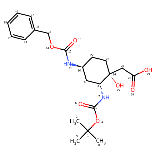 CC(C)(C)OC(=O)N[C@@H]1C[C@@H](NC(=O)OCc2ccccc2)CC[C@@]1(O)CC(=O)O